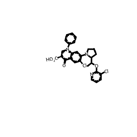 CC(Oc1ncccc1Cl)C1CCCN1c1cc2c(cc1Cl)c(=O)c(C(=O)O)cn2-c1ccccc1